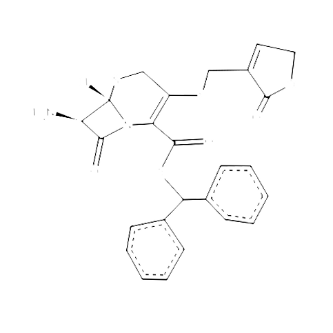 N[C@@H]1C(=O)N2C(C(=O)OC(c3ccccc3)c3ccccc3)=C(SCC3=CCOC3=O)CS[C@@H]12